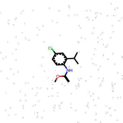 C=C(Nc1ccc(Cl)cc1C(C)C)OC